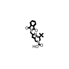 CC(C)(C)C1CN(C(=O)O)Cc2cc(CN3C(=O)c4ccccc4C3=O)nn21